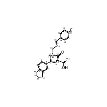 O=C(O)c1cc(-c2ccc3c(c2)CCO3)nn(C/C=C/c2ccc(Cl)cc2)c1=O